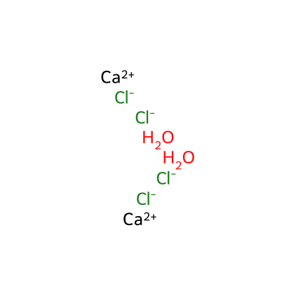 O.O.[Ca+2].[Ca+2].[Cl-].[Cl-].[Cl-].[Cl-]